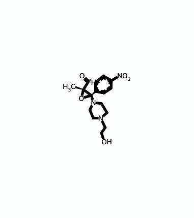 [2H]C(=O)[C@@]1(C)O[C@@]1(c1ccc([N+](=O)[O-])cc1)N1CCN(CCO)CC1